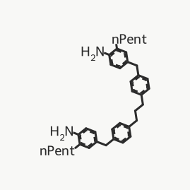 CCCCCc1cc(Cc2ccc(CCCc3ccc(Cc4ccc(N)c(CCCCC)c4)cc3)cc2)ccc1N